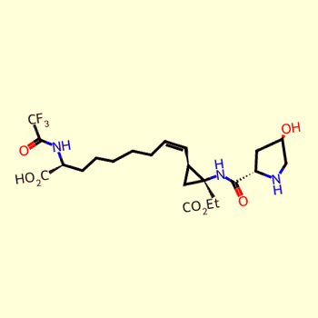 CCOC(=O)[C@@]1(NC(=O)[C@@H]2C[C@@H](O)CN2)C[C@H]1/C=C\CCCCC[C@H](NC(=O)C(F)(F)F)C(=O)O